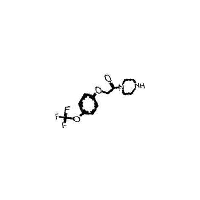 O=C(COc1ccc(OC(F)(F)F)cc1)N1CCNCC1